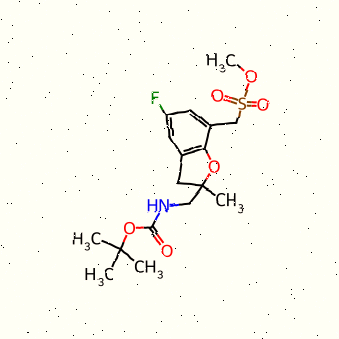 COS(=O)(=O)Cc1cc(F)cc2c1OC(C)(CNC(=O)OC(C)(C)C)C2